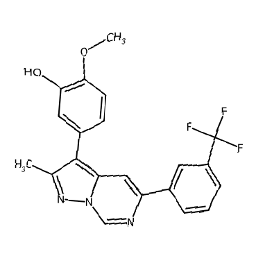 COc1ccc(-c2c(C)nn3cnc(-c4cccc(C(F)(F)F)c4)cc23)cc1O